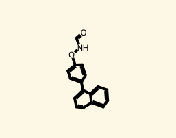 O=CNOc1ccc(-c2cccc3ccccc23)cc1